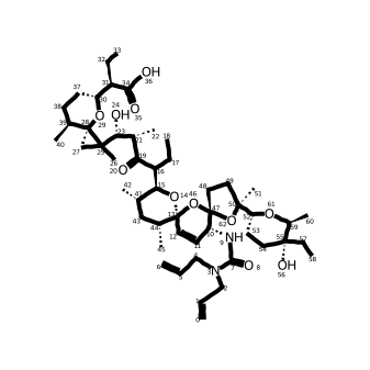 C=CCN(CC=C)C(=O)N[C@@H]1C=C[C@]2(O[C@H](C(CC)C(=O)[C@@H](C)[C@@H](O)C3(C)C[C@]34O[C@@H]([C@@H](CC)C(=O)O)CC[C@@H]4C)[C@@H](C)C[C@H]2C)O[C@@]12CC[C@@](C)([C@H]1CC[C@](O)(CC)[C@H](C)O1)O2